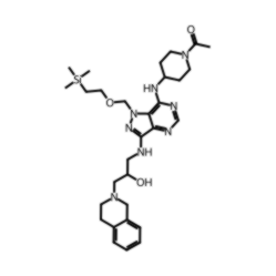 CC(=O)N1CCC(Nc2ncnc3c(NCC(O)CN4CCc5ccccc5C4)nn(COCC[Si](C)(C)C)c23)CC1